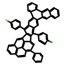 Fc1ccc(-c2c3c(c(-c4ccc(F)cc4)c4cc5c6cc7ccccc7cc6c6ccccc6c5cc24)-c2cc(-c4ccccc4)c4ccc5cccc6cc-3c2c4c56)cc1